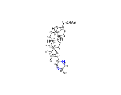 COC[C@H]1CC[C@@H]2C3CC[C@@]4(C)C(CCC4[C@H](C)Cc4cnc(C)cn4)[C@@H]3CC[C@@H]2C1